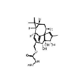 CCCCNC(=O)OCC1=C[C@@H]2C(=O)[C@]3(C=C(C)[C@H](O)[C@@]3(O)[C@@H]1O)[C@H](CC)C[C@@H]1[C@H]2C1(C)C